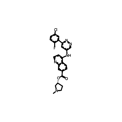 CN1CC[C@@H](OC(=O)c2ccc3c(Nc4cnnc(-c5cc(Cl)ccc5F)c4)ccnc3c2)C1